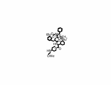 COCCNC1CCN(C(=O)[C@@H](NC(=O)[C@@H](Cc2ccccc2)C[C@@H](O[Si](C)(C)C(C)(C)C)[C@H](Cc2ccccc2)NC(=O)OC(C)(C)C)C2CCCCC2)CC1